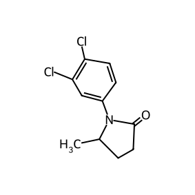 CC1CCC(=O)N1c1ccc(Cl)c(Cl)c1